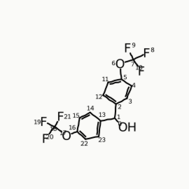 OC(c1ccc(OC(F)(F)F)cc1)c1ccc(OC(F)(F)F)cc1